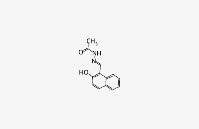 CC(=O)NN=Cc1c(O)ccc2ccccc12